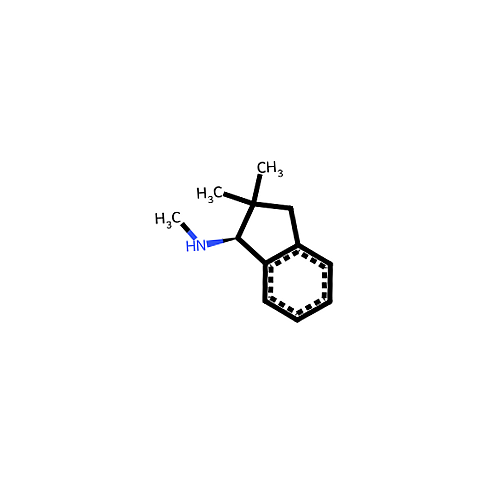 CN[C@@H]1c2ccccc2CC1(C)C